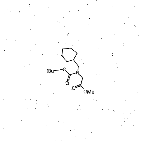 COC(=O)CN(CC1CCCCC1)C(=O)OC(C)(C)C